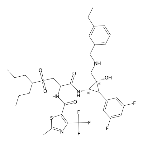 CCCC(CCC)S(=O)(=O)CC(NC(=O)c1sc(C)nc1C(F)(F)F)C(=O)N[C@H]1C(c2cc(F)cc(F)c2)[C@]1(O)CNCc1cccc(CC)c1